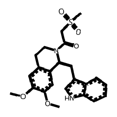 COc1cc2c(cc1OC)C(Cc1c[nH]c3ccccc13)N(C(=O)CS(C)(=O)=O)CC2